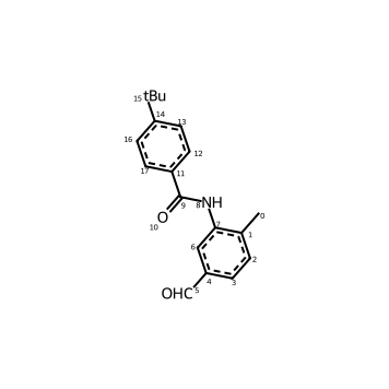 Cc1ccc(C=O)cc1NC(=O)c1ccc(C(C)(C)C)cc1